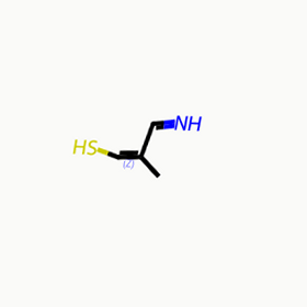 C/C(C=N)=C/S